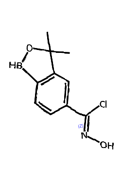 CC1(C)OBc2ccc(/C(Cl)=N/O)cc21